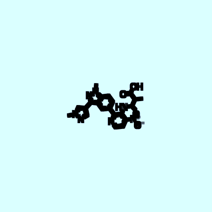 CC(Nc1c([N+](=O)[O-])ccnc1-c1ccc2c(c1)c(-c1cnn(C)c1)nn2C)C(C)C(=O)O